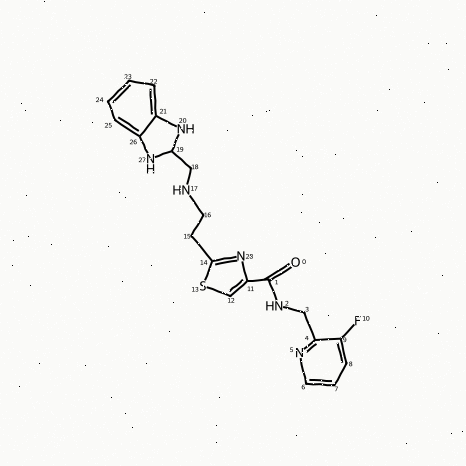 O=C(NCc1ncccc1F)c1csc(CCNCC2Nc3ccccc3N2)n1